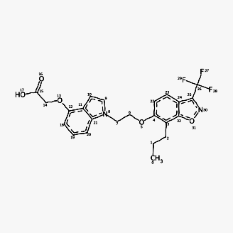 CCCc1c(OCCn2ccc3c(OCC(=O)O)cccc32)ccc2c(C(F)(F)F)noc12